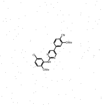 COc1cc(-c2cnc(Nc3cc(Cl)ccc3OC)nc2)ccc1C#N